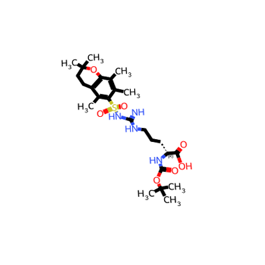 Cc1c(C)c(S(=O)(=O)NC(=N)NCCC[C@@H](NC(=O)OC(C)(C)C)C(=O)O)c(C)c2c1OC(C)(C)CC2